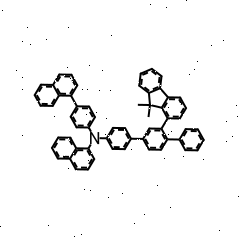 CC1(C)c2ccccc2-c2cccc(-c3cc(-c4ccc(N(c5ccc(-c6cccc7ccccc67)cc5)c5cccc6ccccc56)cc4)ccc3-c3ccccc3)c21